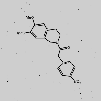 COc1cc2c(cc1OC)CN(C(=O)Cc1ccc([N+](=O)[O-])cc1)CC2